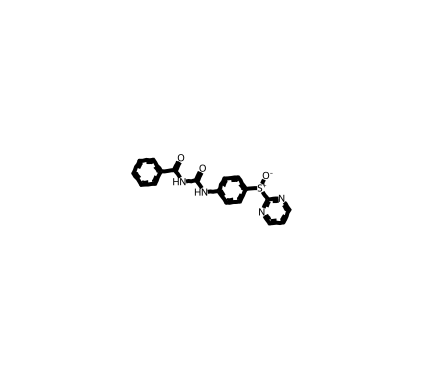 O=C(NC(=O)c1ccccc1)Nc1ccc([S+]([O-])c2ncccn2)cc1